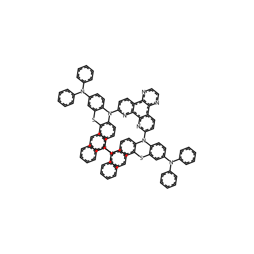 c1ccc(N(c2ccccc2)c2ccc3c(c2)Sc2cc(N(c4ccccc4)c4ccccc4)ccc2N3c2ccc3c4nccnc4c4ccc(N5c6ccc(N(c7ccccc7)c7ccccc7)cc6Sc6cc(N(c7ccccc7)c7ccccc7)ccc65)nc4c3n2)cc1